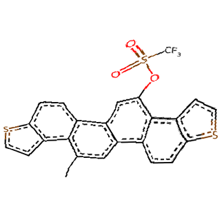 Cc1cc2c(cc(OS(=O)(=O)C(F)(F)F)c3c4ccsc4ccc23)c2ccc3sccc3c12